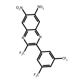 O=[N+]([O-])c1cc2nc(-c3cc(C(F)(F)F)cc(C(F)(F)F)c3)c(C(F)(F)F)nc2cc1[N+](=O)[O-]